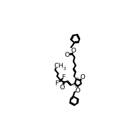 CCCCC(F)(F)C(=O)C=C[C@@H]1[C@H](OCc2ccccc2)CC(=O)[C@@H]1CC=CCCCC(=O)OCc1ccccc1